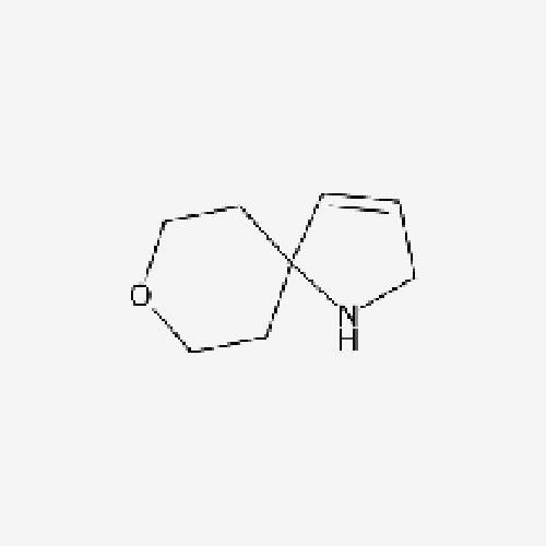 C1=CC2(CCOCC2)NC1